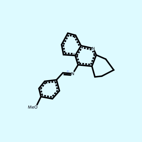 COc1ccc(/C=N/c2c3c(nc4ccccc24)CCCC3)cc1